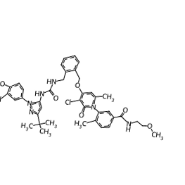 COCCNC(=O)c1ccc(C)c(-n2c(C)cc(OCc3ccccc3CNC(=O)Nc3cc(C(C)(C)C)nn3-c3ccc(O)c(Cl)c3)c(Cl)c2=O)c1